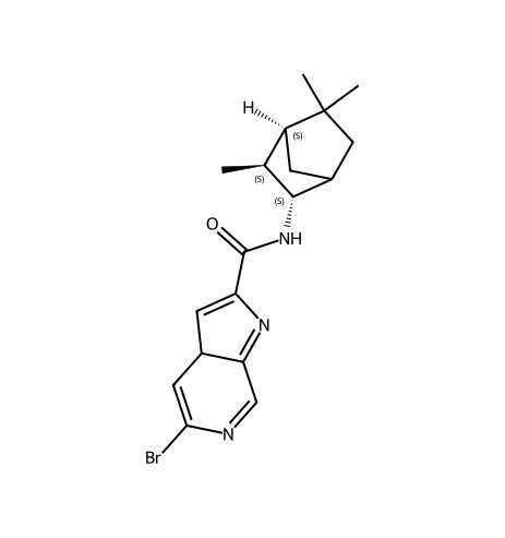 C[C@@H]1[C@@H](NC(=O)C2=CC3C=C(Br)N=CC3=N2)C2C[C@@H]1C(C)(C)C2